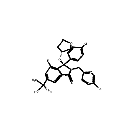 CC(C)(O)c1cc(F)c2c(c1)C(=O)N(Cc1ccc(Cl)cn1)[C@@]2(O[C@@H]1CCOC1)c1ccc(Cl)cc1